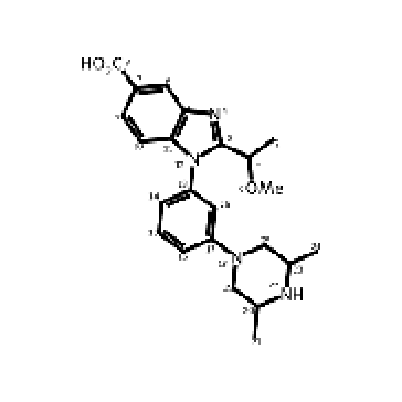 COC(C)c1nc2cc(C(=O)O)ccc2n1-c1cccc(N2CC(C)NC(C)C2)c1